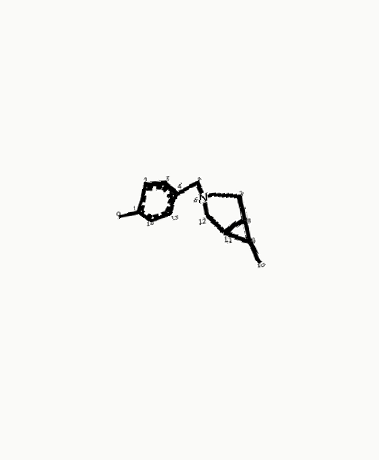 Cc1ccc(CN2CC3C(C)C3C2)cc1